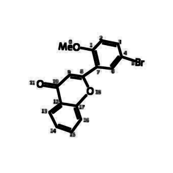 COc1ccc(Br)cc1-c1cc(=O)c2ccccc2o1